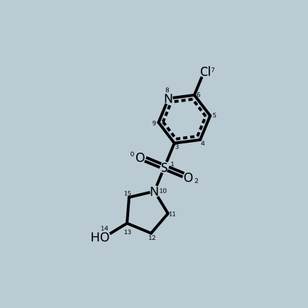 O=S(=O)(c1ccc(Cl)nc1)N1CCC(O)C1